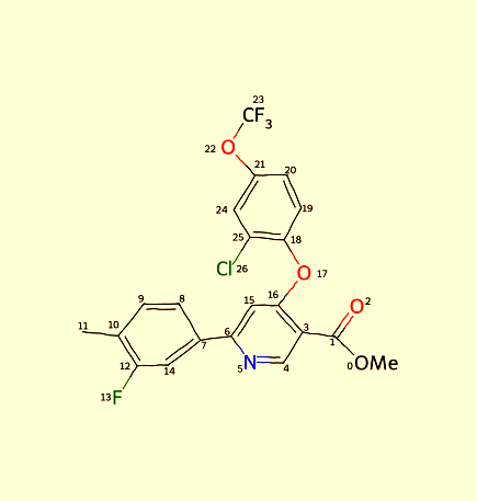 COC(=O)c1cnc(-c2ccc(C)c(F)c2)cc1Oc1ccc(OC(F)(F)F)cc1Cl